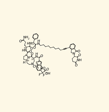 CN1CC[C@H]2CC[C@@H](C(=O)N[C@@H](CCC(N)=O)C(=O)N[C@H](C(=O)NCCCCCCCCCC#Cc3cccc4c3CN(C3CCC(=O)NC3=O)C4=O)c3ccccc3)N2C(=O)[C@@H](NC(=O)c2cc3cc(C(F)(F)P(=O)(O)O)ccc3s2)C1